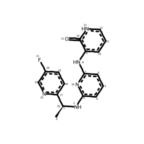 C[C@H](Nc1cccc(Nc2ccc[nH]c2=O)n1)c1ccc(F)cn1